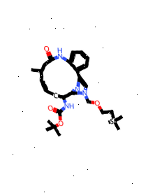 CC1/C=C\CC(NC(=O)OC(C)(C)C)c2nc(cn2COCC[Si](C)(C)C)-c2ccccc2NC(=O)C1